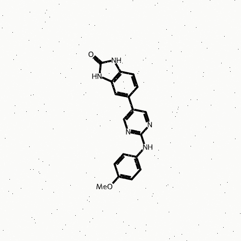 COc1ccc(Nc2ncc(-c3ccc4[nH]c(=O)[nH]c4c3)cn2)cc1